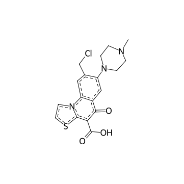 CN1CCN(c2cc3c(=O)c(C(=O)O)c4sccn4c3cc2CCl)CC1